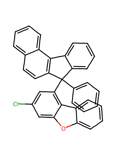 Clc1cc(C2(c3ccccc3)c3ccccc3-c3c2ccc2ccccc32)c2c(c1)oc1ccccc12